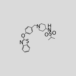 CC(C)S(=O)(=O)NC1CCN(Cc2ccc(Oc3nc4ccccc4s3)cc2)CC1